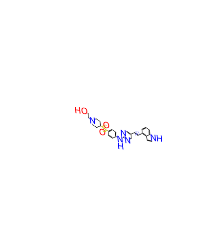 O=S(=O)(c1ccc(Nc2ncc(/C=C/c3cccc4[nH]ccc34)cn2)cc1)C1CCN(CCO)CC1